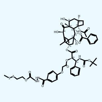 CSSCCOC(=O)NNC(=O)c1ccc(OCC(=O)O[C@@H](C(=O)O[C@H]2C[C@@]3(O)[C@@H](OC(=O)c4ccccc4)[C@@H]4[C@]5(OC(C)=O)CC[C@@H]5C[C@H](O)[C@@]4(C)C(=O)[C@H](O)C(=C2C)C3(C)C)[C@@H](NC(=O)OC(C)(C)C)c2ccccc2)cc1